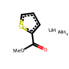 COC(=O)c1cccs1.[AlH3].[LiH]